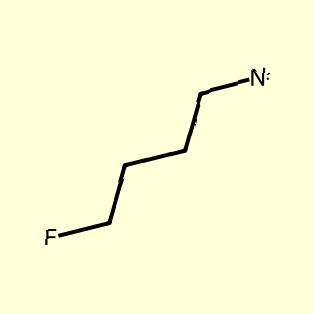 [N]CCCCF